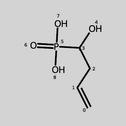 C=CC[C](O)P(=O)(O)O